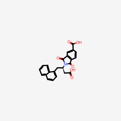 O=C(O)C[C@@H](Cc1cccc2ccccc12)N1C(=O)c2ccc(C(=O)O)cc2C1=O